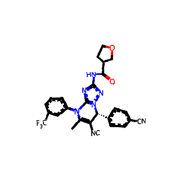 [C-]#[N+]C1=C(C)N(c2cccc(C(F)(F)F)c2)c2nc(NC(=O)C3CCOC3)nn2[C@@H]1c1ccc(C#N)cc1